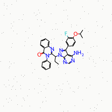 CCC(c1nc2ccccc2c(=O)n1-c1ccccc1)n1nc(-c2ccc(OC(C)C)c(F)c2)c2c(N)ncnc21